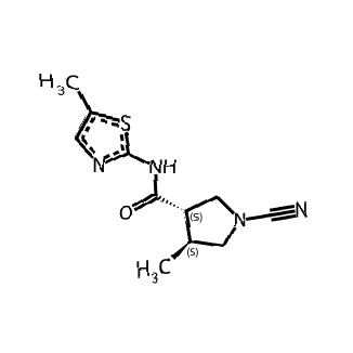 Cc1cnc(NC(=O)[C@@H]2CN(C#N)C[C@H]2C)s1